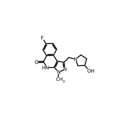 Cn1nc(CN2CCC(O)C2)c2c3ccc(F)cc3c(=O)[nH]c21